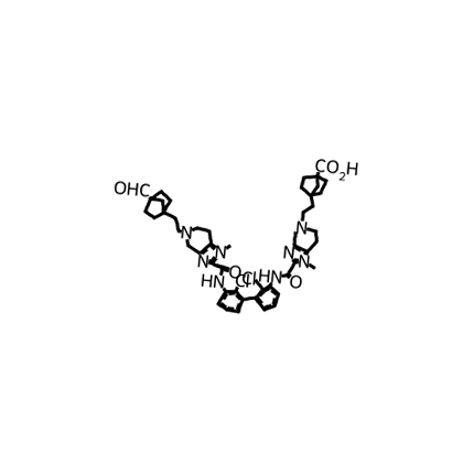 Cn1c(C(=O)Nc2cccc(-c3cccc(NC(=O)c4nc5c(n4C)CCN(CCC46CCC(C(=O)O)(CC4)C6)C5)c3Cl)c2Cl)nc2c1CCN(CCC13CCC(C=O)(CC1)C3)C2